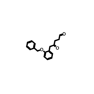 O=CCCC(=O)Cc1ccccc1OCc1ccccc1